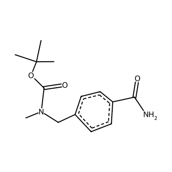 CN(Cc1ccc(C(N)=O)cc1)C(=O)OC(C)(C)C